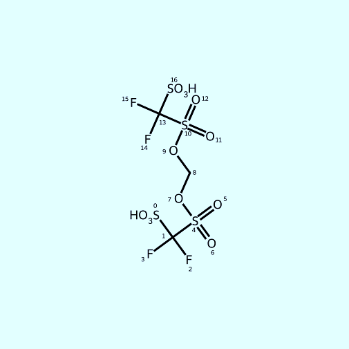 O=S(=O)(O)C(F)(F)S(=O)(=O)OCOS(=O)(=O)C(F)(F)S(=O)(=O)O